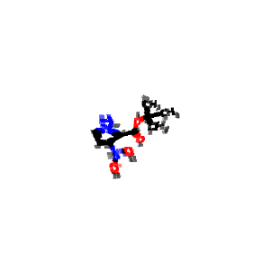 CC(C)(C)OC(=O)c1[nH]ccc1[N+](=O)[O-]